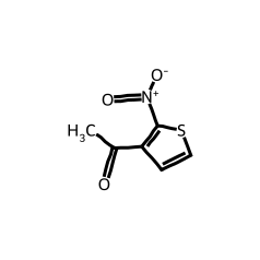 CC(=O)c1ccsc1[N+](=O)[O-]